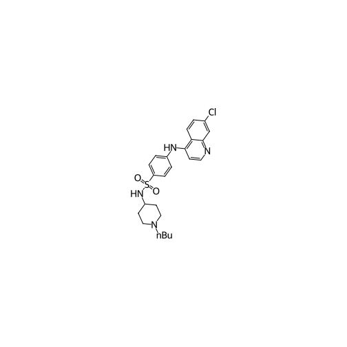 CCCCN1CCC(NS(=O)(=O)c2ccc(Nc3ccnc4cc(Cl)ccc34)cc2)CC1